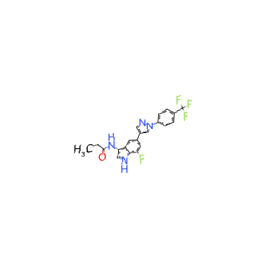 CCC(=O)Nc1c[nH]c2c(F)cc(-c3cnn(-c4ccc(C(F)(F)F)cc4)c3)cc12